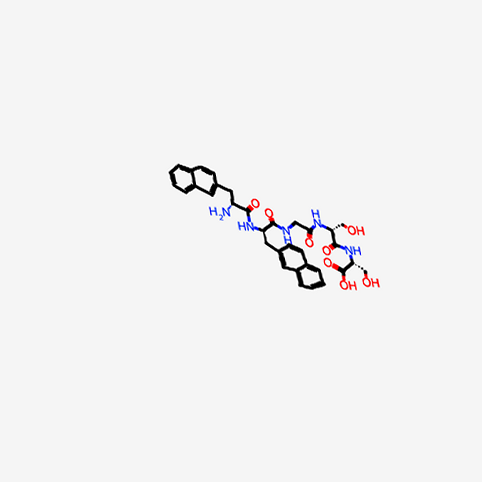 N[C@H](Cc1ccc2ccccc2c1)C(=O)N[C@H](Cc1ccc2ccccc2c1)C(=O)NCC(=O)N[C@H](CO)C(=O)N[C@H](CO)C(=O)O